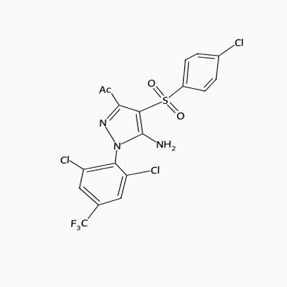 CC(=O)c1nn(-c2c(Cl)cc(C(F)(F)F)cc2Cl)c(N)c1S(=O)(=O)c1ccc(Cl)cc1